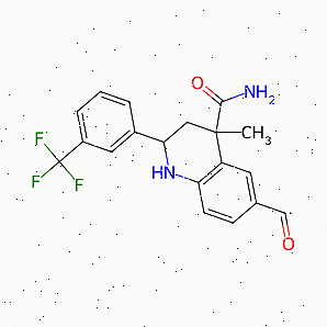 CC1(C(N)=O)CC(c2cccc(C(F)(F)F)c2)Nc2ccc([C]=O)cc21